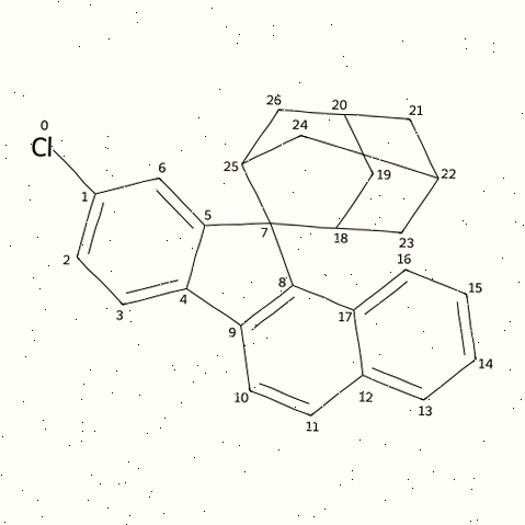 Clc1ccc2c(c1)C1(c3c-2ccc2ccccc32)C2CC3CC(C2)CC1C3